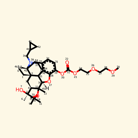 CC[C@]12C[C@H]([C@](C)(O)C(C)(C)C)C(C)(OC)[C@@H]3Oc4c(OC(=O)OCCOCCOC)ccc5c4[C@@]31CCN(CC1CC1)[C@@H]2C5